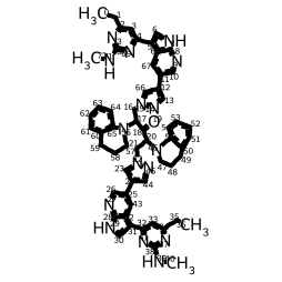 CCc1cc(-c2c[nH]c3ncc(-c4cnn(CC(C(=O)C(Cn5cc(-c6cnc7[nH]cc(-c8cc(CC)nc(NC)n8)c7c6)cn5)N5CCCc6ccccc65)N5CCCc6ccccc65)c4)cc23)nc(NC)n1